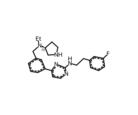 CCN(Cc1cccc(-c2ccnc(NCCc3cccc(F)c3)n2)c1)[C@H]1CCNC1